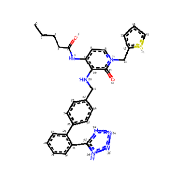 CCCCC(=O)Nc1ccn(Cc2cccs2)c(=O)c1NCc1ccc(-c2ccccc2-c2nnn[nH]2)cc1